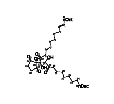 CCCCCCCC/C=C/CCCCCCCC(=O)C(O)(C(O)C(=O)CCCCCCCCCCCCCCCCC)C1(O)C(=O)CCC1=O